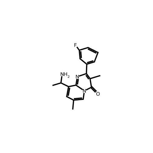 Cc1cc(C(C)N)c2nc(-c3cccc(F)c3)c(C)c(=O)n2c1